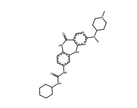 CN1CCC(N(C)c2ncc3c(n2)Nc2cc(NC(=O)NC4CCCCC4)ccc2NC3=O)CC1